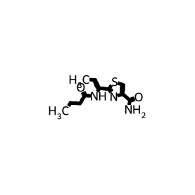 C/C=C(\NC(=O)CCC)c1nc(C(N)=O)cs1